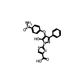 N[S+]([O-])c1ccc(Oc2c(-c3ccccc3)nn(-c3nc(C(=O)O)cs3)c2O)cc1